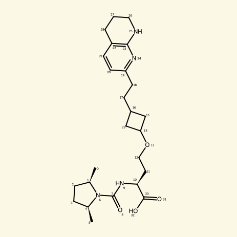 C[C@@H]1CC[C@H](C)N1C(=O)N[C@@H](CCOC1CC(CCc2ccc3c(n2)NCCC3)C1)C(=O)O